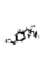 CCOC(F)(F)Cc1ccc(CO)cc1